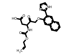 C=CCOC(=O)NC(CC(=O)O)C(=O)COc1cc2ccccc2cc1-c1ncc[nH]1